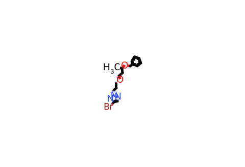 CC(CCOCCCn1ncc(Br)n1)OCc1ccccc1